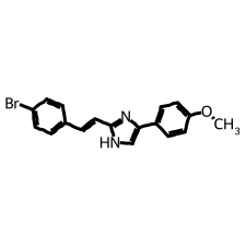 COc1ccc(-c2c[nH]c(/C=C/c3ccc(Br)cc3)n2)cc1